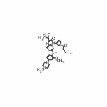 C=CC(=O)N1CC[C@H](n2c(=O)c(C(C)C)nc3cnc(Nc4ccc(N5CCN(C)CC5)cc4OC)nc32)C1